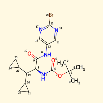 CC(C)(C)OC(=O)N[C@H](C(=O)Nc1cnc(Br)nc1)C(C1CC1)C1CC1